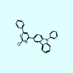 Clc1nc(-c2ccccc2)cc(-c2ccc3c(c2)c2ccccc2n3-c2ccccc2)n1